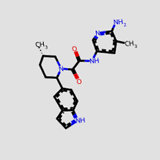 Cc1cc(NC(=O)C(=O)N2C[C@@H](C)CCC2c2ccc3[nH]ccc3c2)cnc1N